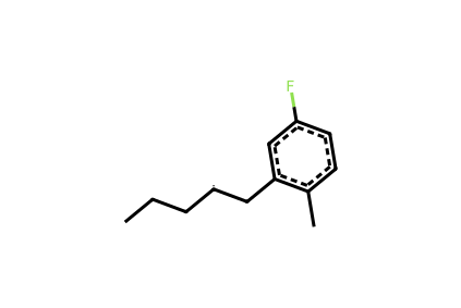 CCC[CH]Cc1cc(F)ccc1C